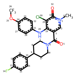 Cn1cc(C(=O)N2CCC(c3ccc(F)cc3)CC2)c(Nc2ccc(OC(F)(F)F)cc2)c(Cl)c1=O